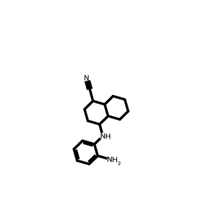 N#CC1CCC(Nc2ccccc2N)C2CCCCC12